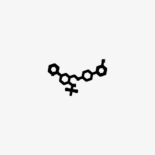 CS(=O)(=O)NC1CCN(c2ccccn2)CC1COC1CCC(c2cccc(Cl)c2)CC1